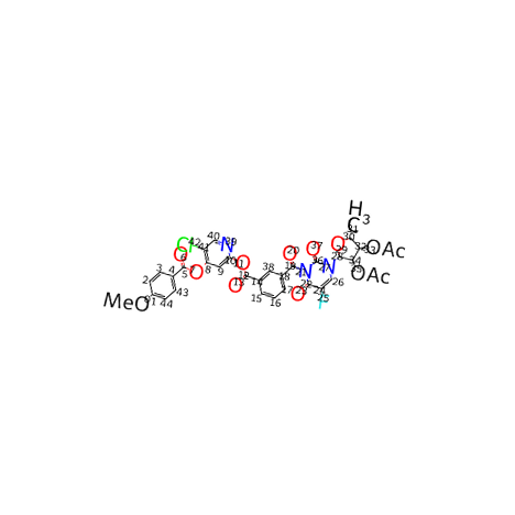 COc1ccc(C(=O)Oc2cc(OC(=O)c3cccc(C(=O)n4c(=O)c(F)cn([C@@H]5O[C@H](C)[C@@H](OC(C)=O)[C@H]5OC(C)=O)c4=O)c3)ncc2Cl)cc1